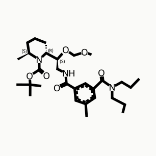 CCCN(CCC)C(=O)c1cc(C)cc(C(=O)NC[C@H](OCOC)[C@H]2CCC[C@H](C)N2C(=O)OC(C)(C)C)c1